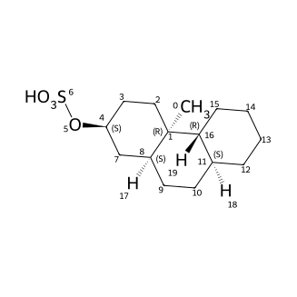 C[C@@]12CC[C@H](OS(=O)(=O)O)C[C@@H]1CC[C@@H]1CCCC[C@H]12